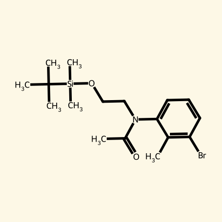 CC(=O)N(CCO[Si](C)(C)C(C)(C)C)c1cccc(Br)c1C